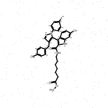 COC(=O)CCCCCCNC(=O)c1[nH]c2cc(Cl)ccc2c1-c1c(Cc2ccc(Cl)cc2)cnn1-c1ccc(F)cc1